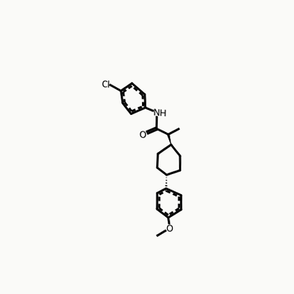 COc1ccc([C@H]2CC[C@H](C(C)C(=O)Nc3ccc(Cl)cc3)CC2)cc1